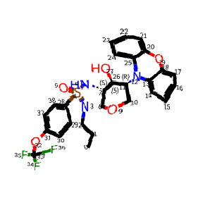 CCCN=S(=O)(N[C@H]1COC[C@@H](N2c3ccccc3Oc3ccccc32)[C@@H]1O)c1ccc(OC(F)(F)F)cc1